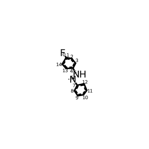 Fc1ccc(N[N]c2ccccc2)cc1